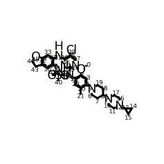 COc1cc(N2CCC(N3CCN(C4CC4)CC3)CC2)c(C)cc1Nc1ncc(Cl)c(Nc2cc3c(cc2NS(C)(=O)=O)CCO3)n1